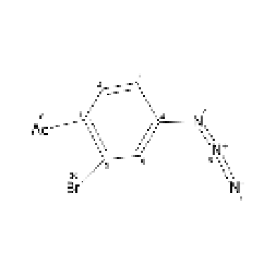 CC(=O)c1ccc(N=[N+]=[N-])cc1Br